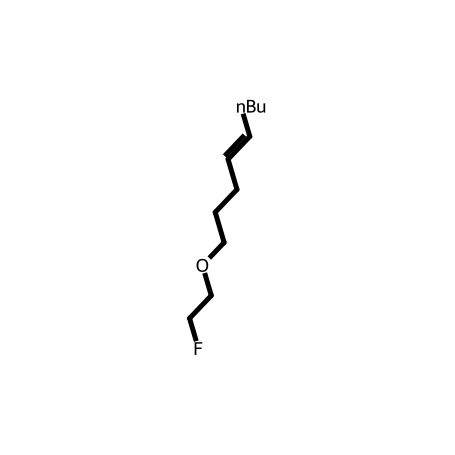 CCCC/C=C/CCCOCCF